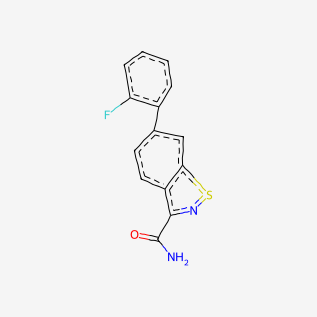 NC(=O)c1nsc2cc(-c3ccccc3F)ccc12